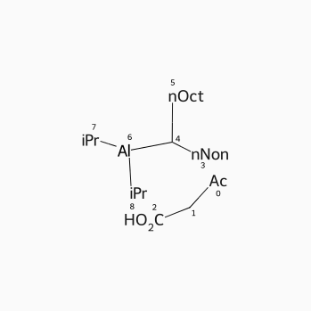 CC(=O)CC(=O)O.CCCCCCCCC[CH](CCCCCCCC)[Al]([CH](C)C)[CH](C)C